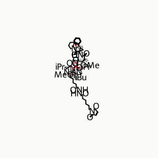 CC[C@H](C)[C@@H]([C@@H](CC(=O)N1CCC[C@H]1C(OC)[C@@H](C)C(=O)N[C@@]1(C(=O)N2CCCCO2)C[C@@H]1c1ccccc1)OC)N(C)[C@H](C(=O)NC(=O)[C@H](C(C)C)N(C)CCCCCC(=O)NNC(=O)CCCCCN1C(=O)C=CC1=O)C(C)C